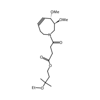 CCOC(C)(C)CCOC(=O)CCC(=O)N1CCC#C[C@H](OC)[C@@H](OC)C1